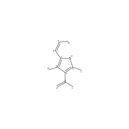 C=C(C)c1c(C)sc(/C=C\C)c1C